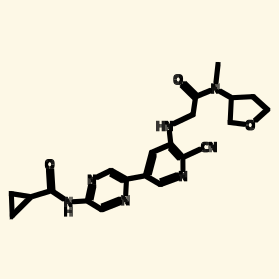 CN(C(=O)CNc1cc(-c2cnc(NC(=O)C3CC3)cn2)cnc1C#N)C1CCOC1